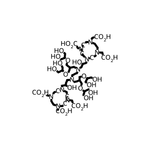 O=C(O)CN1CCN(CC(=O)O)CCN(CC(O)CN(CCN(CC(O)CN2CCN(CC(=O)O)CCN(C(=O)O)CCN(CC(=O)O)CC2)CC(COC(CO)CO)COC(CO)CO)CC(COC(CO)CO)COC(CO)CO)CCN(CC(=O)O)CC1